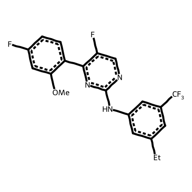 CCc1cc(Nc2ncc(F)c(-c3ccc(F)cc3OC)n2)cc(C(F)(F)F)c1